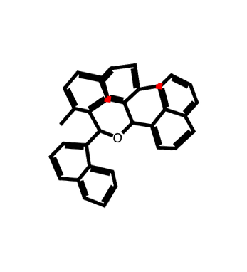 Cc1ccccc1C(OC(c1ccccc1C)c1cccc2ccccc12)c1cccc2ccccc12